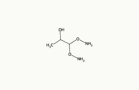 CC(O)C(ON)ON